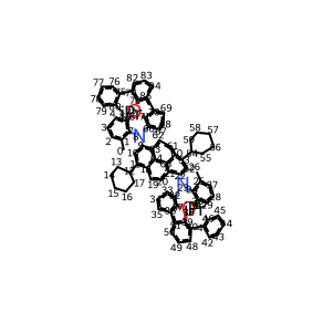 Cc1cccc(C)c1N(c1cc(C2CCCCC2)c2ccc3c(N(c4c(C)cccc4C)c4cccc5c4oc4c(-c6ccccc6C(C)C)cccc45)cc(C4CCCCC4)c4ccc1c2c43)c1cccc2c1oc1c(-c3ccccc3C(C)C)cccc12